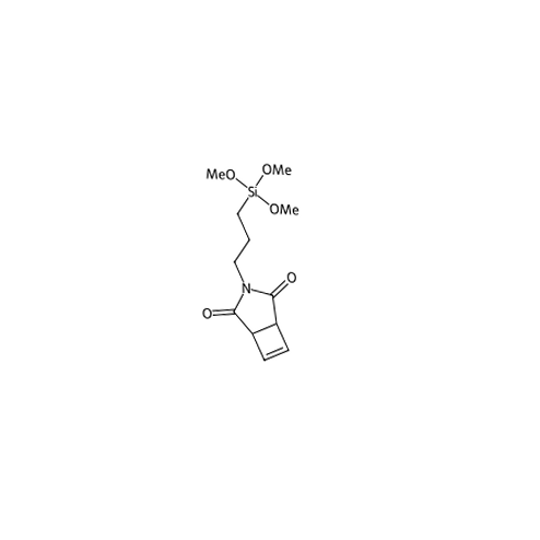 CO[Si](CCCN1C(=O)C2C=CC2C1=O)(OC)OC